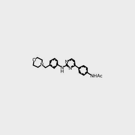 CC(=O)Nc1ccc(-c2ccnc(Nc3cccc(CN4CCOCC4)c3)n2)cc1